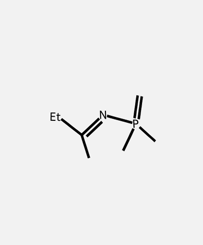 C=P(C)(C)N=C(C)CC